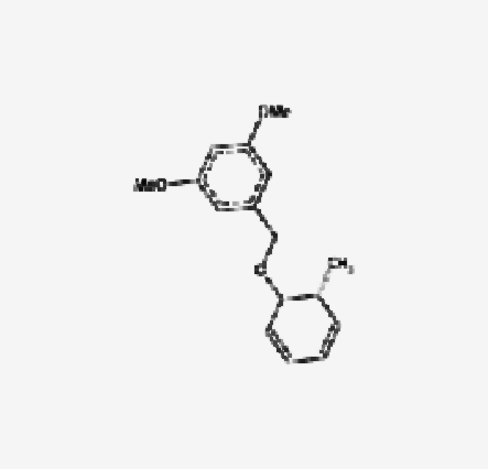 COc1cc(COC2C=CC=C[C@H]2C)cc(OC)c1